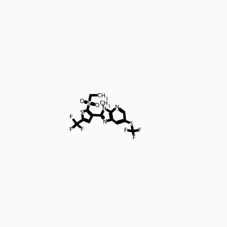 CCS(=O)(=O)c1sc(C(F)(F)F)cc1-c1nc2cc(SC(F)(F)F)cnc2n1C